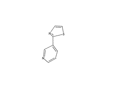 [c]1cncc(-c2nccs2)c1